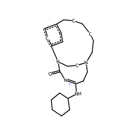 O=C1/N=C(/NC2CCCCC2)CCN2CCCCCCc3ccc(cc3)N1CC2